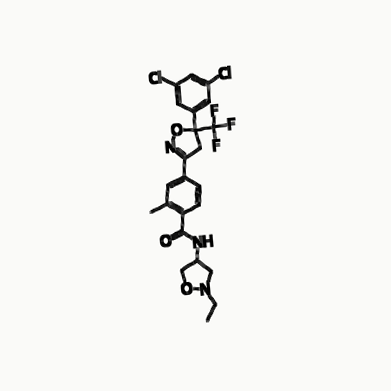 CCN1CC(NC(=O)c2ccc(C3=NOC(c4cc(Cl)cc(Cl)c4)(C(F)(F)F)C3)cc2C)CO1